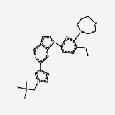 COc1ccc(-n2ncc3cnc(-c4cnn(CC(F)(F)F)c4)cc32)nc1N1CCCNCC1